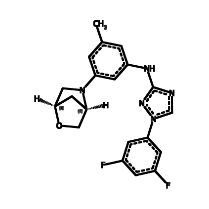 Cc1cc(Nc2ncn(-c3cc(F)cc(F)c3)n2)cc(N2C[C@H]3C[C@@H]2CO3)c1